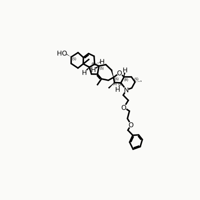 CC1=C2C[C@H]3[C@@H](CC=C4C[C@@H](O)CCC43C)[C@@H]2CC[C@@]2(C1)O[C@@H]1C[C@H](C)CN(CCOCCOCc3ccccc3)[C@H]1[C@H]2C